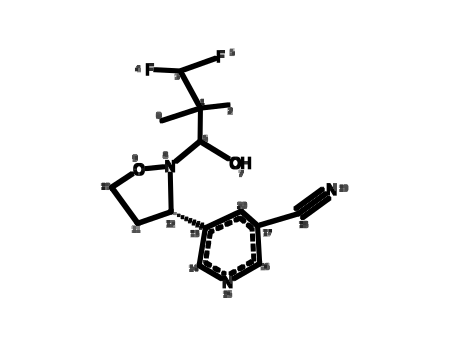 CC(C)(C(F)F)C(O)N1OCC[C@H]1c1cncc(C#N)c1